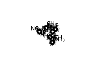 Cn1c(=O)n([C@@H]2CC[C@@H](CC(C)(C)[Si](O)(c3ccccc3)c3ccccc3)c3ccc(F)cc32)c2nc(-n3cnc4ccc(C#N)cc43)ncc21